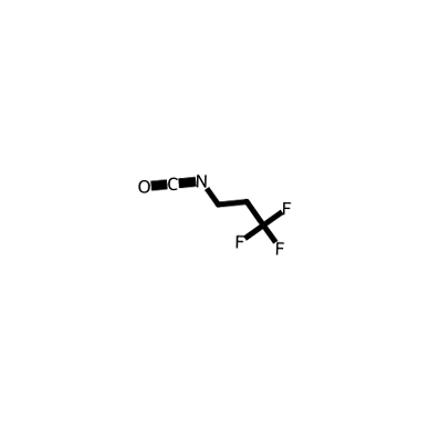 O=C=NCCC(F)(F)F